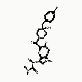 CN(C)C(=O)C(=O)c1cn(C)c2nc(Cl)c(C(=O)N3CCC(O)(Cc4ccc(F)cc4)CC3)nc12